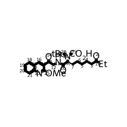 CCC(=O)CCCCC[C@@H](C(=O)NCC(=O)c1cc2ccccc2nc1OC)N(C(=O)O)C(C)(C)C